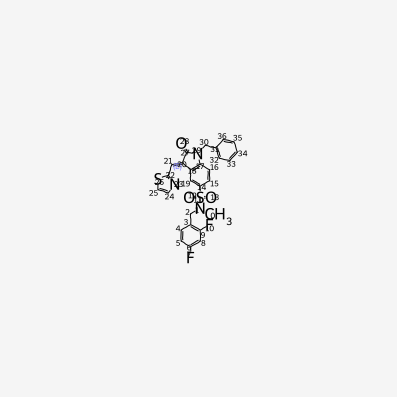 CN(Cc1ccc(F)cc1F)S(=O)(=O)c1ccc2c(c1)/C(=C\c1nccs1)C(=O)N2Cc1ccccc1